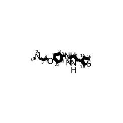 CN(C)CCOc1ccc(Nc2cc(-c3ccsc3)[nH]n2)cc1